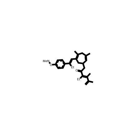 C=C(C)/C(C)=C(\CC)C(=O)CC1C=C(C)CC(C)=C(/C=C(\CC)c2ccc(ONC)cc2)C1